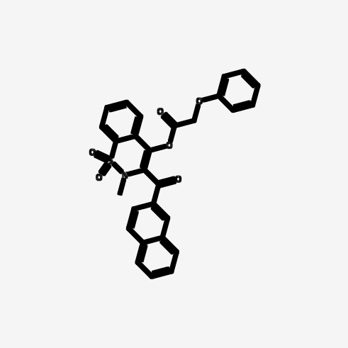 CN1C(C(=O)c2ccc3ccccc3c2)=C(OC(=O)COc2ccccc2)c2ccccc2S1(=O)=O